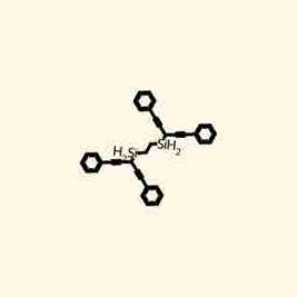 C(#CC(C#Cc1ccccc1)[SiH2]CC[SiH2]C(C#Cc1ccccc1)C#Cc1ccccc1)c1ccccc1